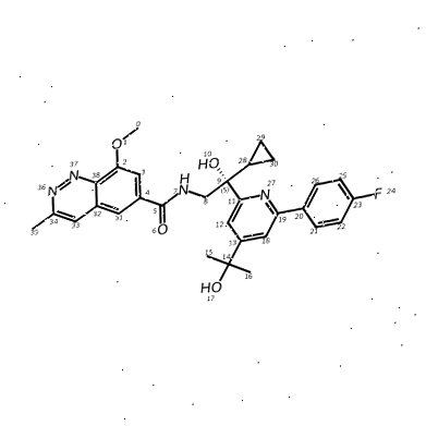 COc1cc(C(=O)NC[C@](O)(c2cc(C(C)(C)O)cc(-c3ccc(F)cc3)n2)C2CC2)cc2cc(C)nnc12